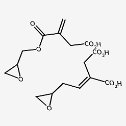 C=C(CC(=O)O)C(=O)OCC1CO1.O=C(O)CC(=CCC1CO1)C(=O)O